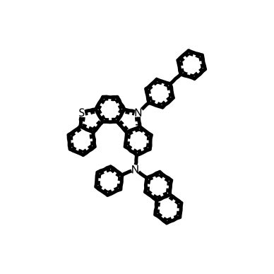 c1ccc(-c2ccc(-n3c4ccc(N(c5ccccc5)c5ccc6ccccc6c5)cc4c4c5c(ccc43)sc3ccccc35)cc2)cc1